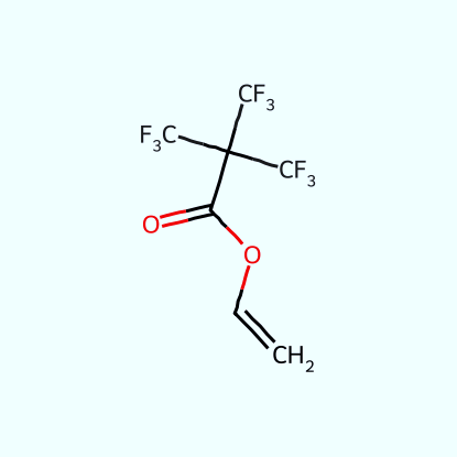 C=COC(=O)C(C(F)(F)F)(C(F)(F)F)C(F)(F)F